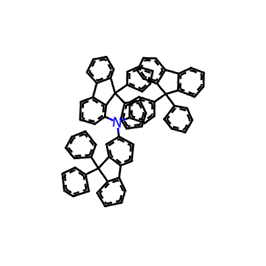 c1ccc(C2(c3ccc(N(c4ccc5c(c4)C(c4ccccc4)(c4ccccc4)c4ccccc4-5)c4cccc5c4C(c4ccccc4)(c4ccccc4)c4ccccc4-5)cc3)c3ccccc3-c3ccccc32)cc1